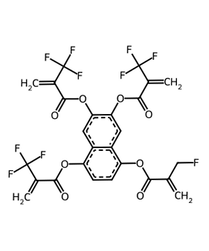 C=C(CF)C(=O)Oc1ccc(OC(=O)C(=C)C(F)(F)F)c2cc(OC(=O)C(=C)C(F)(F)F)c(OC(=O)C(=C)C(F)(F)F)cc12